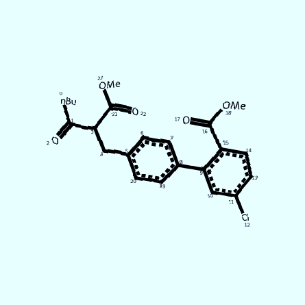 CCCCC(=O)C(Cc1ccc(-c2cc(Cl)ccc2C(=O)OC)cc1)C(=O)OC